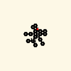 c1ccc(-c2ccc(N3c4cc(-c5nc(-c6ccccc6)cc(-c6ccccc6)n5)cc5c4B(c4c3cc3c6cccc7cccc(c8cccc4c83)c76)c3c(cc4c6cccc7cccc(c8cccc3c84)c76)N5c3ccc(-c4ccccc4)cc3)cc2)cc1